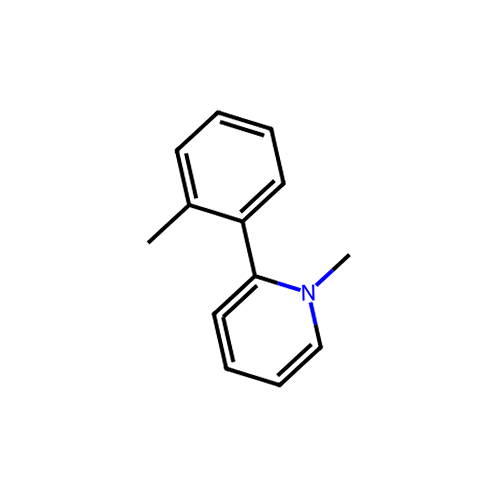 Cc1ccccc1C1=C=CC=CN1C